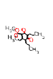 CCCC1C(=O)C(CCC)C(CC)C(C(=O)OC)C1=O